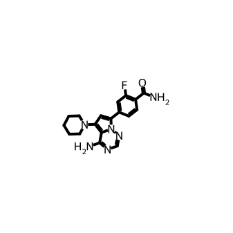 NC(=O)c1ccc(-c2cc(N3CCCCC3)c3c(N)ncnn23)cc1F